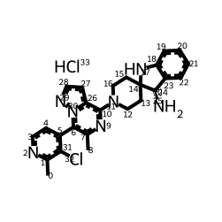 Cc1nccc(-c2c(C)nc(N3CCC4(CC3)Nc3ccccc3[C@H]4N)c3ccnn23)c1Cl.Cl